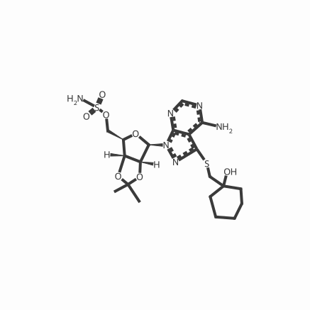 CC1(C)O[C@@H]2[C@H](O1)[C@@H](COS(N)(=O)=O)O[C@H]2n1nc(SCC2(O)CCCCC2)c2c(N)ncnc21